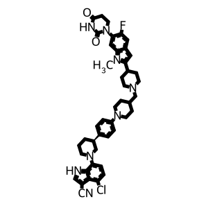 Cn1c(C2CCN(CC3CCN(c4ccc([C@@H]5CCCN(c6ccc(Cl)c7c(C#N)c[nH]c67)C5)cc4)CC3)CC2)cc2cc(F)c(N3CCC(=O)NC3=O)cc21